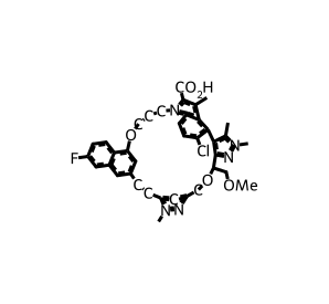 COCC1OCc2cc(n(C)n2)CCc2cc(c3ccc(F)cc3c2)OCCCn2c(C(=O)O)c(C)c3c(c(Cl)ccc32)-c2c1nn(C)c2C